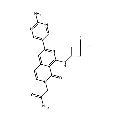 NC(=O)Cn1ccc2cc(-c3cnc(N)nc3)nc(NC3CC(F)(F)C3)c2c1=O